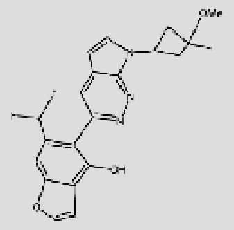 COC1(C)CC(n2ccc3cc(-c4c(C(F)F)cc5occc5c4O)nnc32)C1